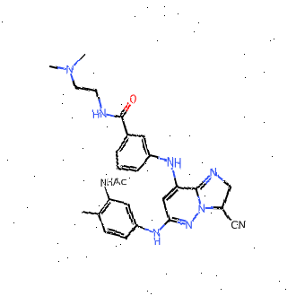 CC(=O)Nc1cc(NC2=NN3C(=NCC3C#N)C(Nc3cccc(C(=O)NCCN(C)C)c3)=C2)ccc1C